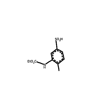 CCOC(=O)Nc1cc(S(=O)(=O)O)ccc1C